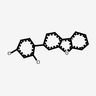 Clc1ccc(-c2ccc3c(c2)oc2ccccc23)c(Cl)c1